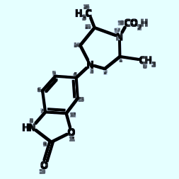 CC1CN(c2ccc3[nH]c(=O)oc3c2)CC(C)N1C(=O)O